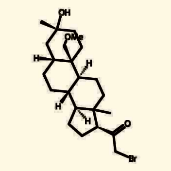 COC[C@]12CC[C@@](C)(O)C[C@H]1CC[C@H]1[C@@H]3CC[C@H](C(=O)CBr)C3(C)CC[C@@H]12